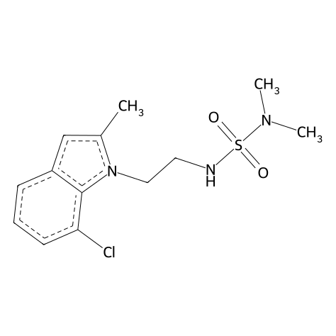 Cc1cc2cccc(Cl)c2n1CCNS(=O)(=O)N(C)C